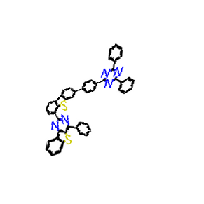 c1ccc(-c2nc(-c3ccccc3)nc(-c3ccc(-c4ccc5c(c4)sc4c(-c6nc(-c7ccccc7)c7sc8ccccc8c7n6)cccc45)cc3)n2)cc1